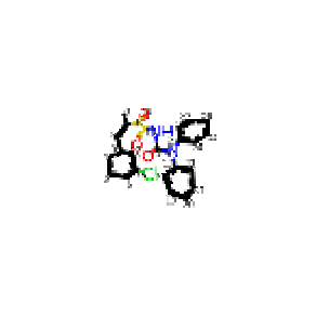 CC(=Cc1cccc(Cl)c1)S(=O)(=O)NC(=O)N(c1ccccc1)c1ccccc1